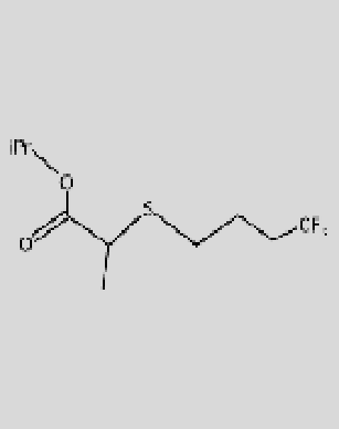 CC(C)OC(=O)C(C)SCCCC(F)(F)F